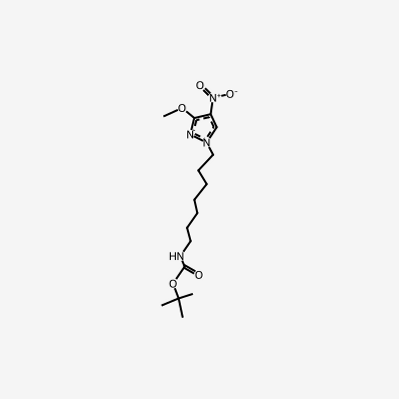 COc1nn(CCCCCCCNC(=O)OC(C)(C)C)cc1[N+](=O)[O-]